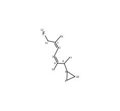 C/C(=C/C=C(/C)C(C)C1CC1)CF